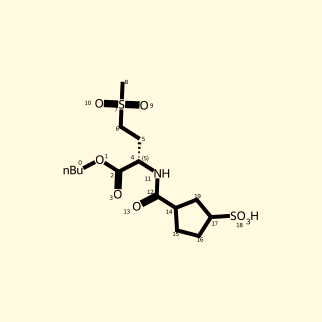 CCCCOC(=O)[C@H](CCS(C)(=O)=O)NC(=O)C1CCC(S(=O)(=O)O)C1